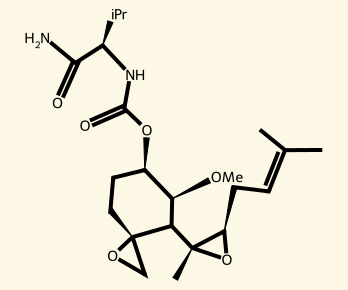 CO[C@H]1C([C@@]2(C)O[C@@H]2CC=C(C)C)[C@]2(CC[C@H]1OC(=O)N[C@@H](C(N)=O)C(C)C)CO2